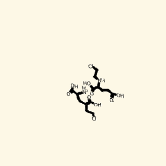 NC(CC(CCCl)C(=O)O)C(=O)O.O=C(O)CCC(NCCCl)C(=O)O